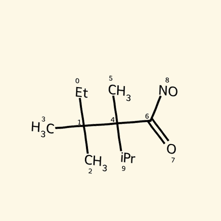 CCC(C)(C)C(C)(C(=O)N=O)C(C)C